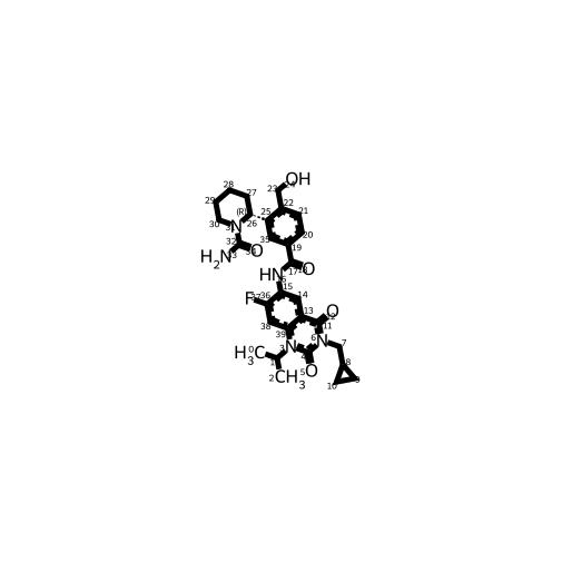 CC(C)n1c(=O)n(CC2CC2)c(=O)c2cc(NC(=O)c3ccc(CO)c([C@H]4CCCCN4C(N)=O)c3)c(F)cc21